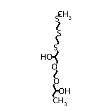 CCC(O)COCCOCC(O)CSCCSCCSC